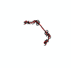 O=C(CCCCCCCCCCCCCCCCC(=O)OCOc1ccc2ccc(OCCCCN3CCN(c4cccc5sccc45)CC3)cc2n1)OCOc1ccc2ccc(OCCCCN3CCN(c4cccc5sccc45)CC3)cc2n1